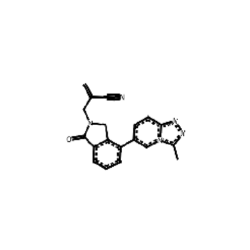 C=C(C#N)CN1Cc2c(cccc2-c2ccc3nnc(C)n3c2)C1=O